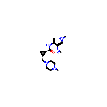 CN/C=C(/NC)C(C)NC(=O)[C@H]1C[C@@H]1CN1CCN(C)CC1